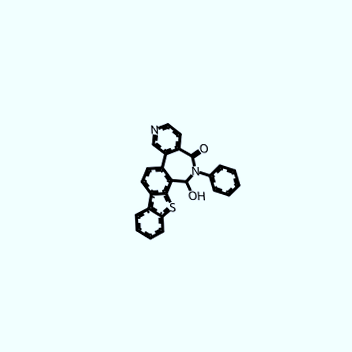 O=C1c2ccncc2-c2ccc3c(sc4ccccc43)c2C(O)N1c1ccccc1